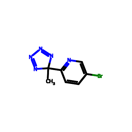 CC1(c2ccc(Br)cn2)N=NN=N1